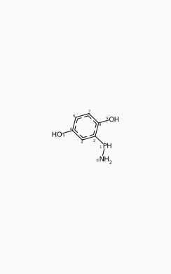 NPc1cc(O)ccc1O